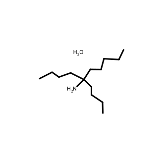 CCCCCC(N)(CCCC)CCCC.O